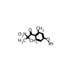 Cc1cc(OC(C)C)ccc1C(=O)C(C)(C)[N+](=O)[O-]